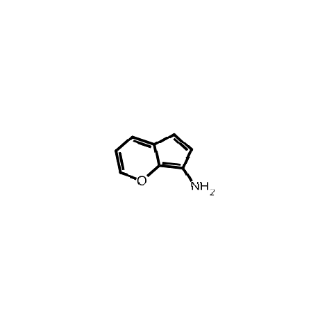 Nc1ccc2cccoc1-2